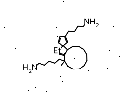 C=C1C(C2(CC)C=CC(CCCCN)=C2)CCCCCCCCCC1(C)CCCCCN